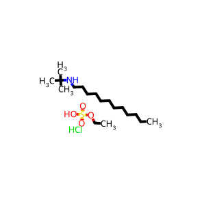 CCCCCCCCCCCCNC(C)(C)C.CCOS(=O)(=O)O.Cl